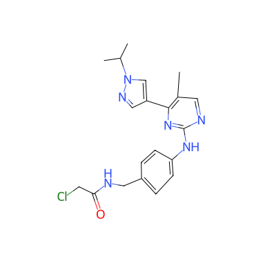 Cc1cnc(Nc2ccc(CNC(=O)CCl)cc2)nc1-c1cnn(C(C)C)c1